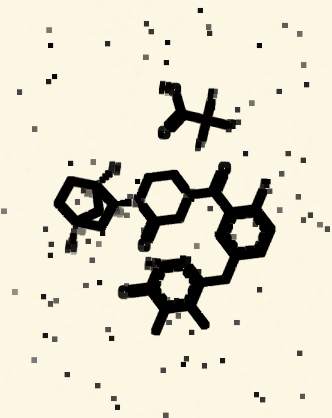 Cc1c(Cc2ccc(F)c(C(=O)N3CCN([C@@H]4C[C@H]5CC[C@@H]4C5)C(=O)C3)c2)n[nH]c(=O)c1C.O=C(O)C(F)(F)F